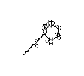 CCCCCCCC(=O)SCC/C=C/C1CC(=O)NCc2nc(co2)C2=N[C@@](C)(CO2)C(=O)N[C@@H](C(C)C)C(=O)O1